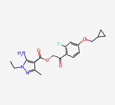 CCn1nc(C)c(C(=O)OCC(=O)c2ccc(OCC3CC3)cc2F)c1N